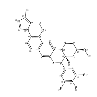 COc1cc(C=C2CC(c3cc(F)c(F)c(F)c3)[C@H]3C[C@H](OC)CCN3C2=O)ccc1-n1cnc(C)c1